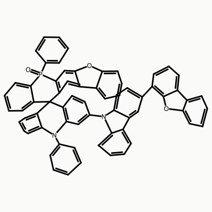 O=P1(c2ccccc2)c2ccccc2C2(c3ccccc3N(c3ccccc3)c3cc(-n4c5ccccc5c5cc(-c6cccc7c6oc6ccccc67)ccc54)ccc32)c2cc3c(cc21)oc1ccccc13